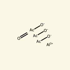 C=O.CC(=O)[O-].CC(=O)[O-].CC(=O)[O-].[Al+3]